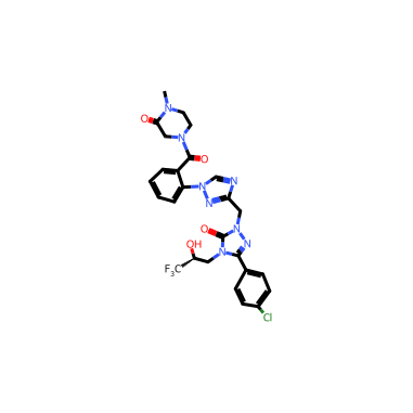 CN1CCN(C(=O)c2ccccc2-n2cnc(Cn3nc(-c4ccc(Cl)cc4)n(C[C@H](O)C(F)(F)F)c3=O)n2)CC1=O